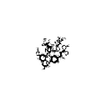 COC(=O)C[C@@H](C)c1ccc(N(CC(C)C)[C@H]2CC[C@@H](OC)CC2)c(Nc2nc(C(F)(F)F)cn2COCC[Si](C)(C)C)c1